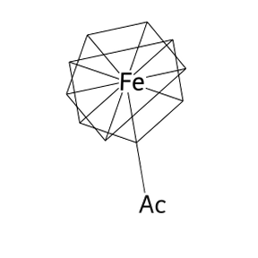 CC(=O)[C]12[CH]3[CH]4[CH]5[CH]1[Fe]45321678[CH]2[CH]1[CH]6[CH]7[CH]28